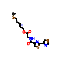 CC(=O)SCC/C=C/COC(=O)CNC(=O)c1csc(-c2cscn2)n1